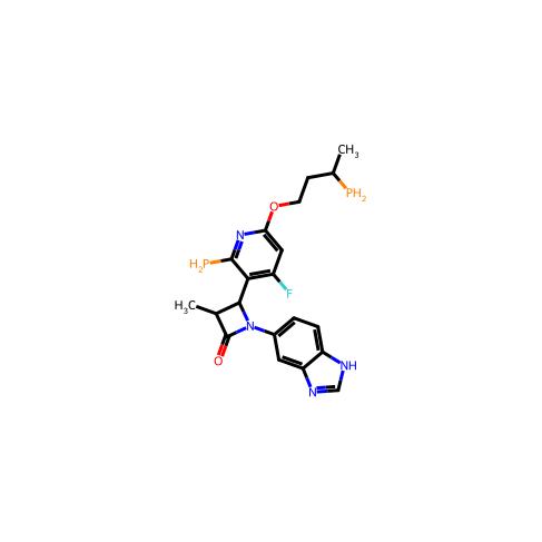 CC(P)CCOc1cc(F)c(C2C(C)C(=O)N2c2ccc3[nH]cnc3c2)c(P)n1